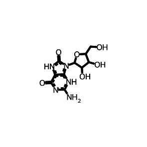 Nc1nc(=O)c2[nH]c(=O)n(C3OC(CO)C(O)C3O)c2[nH]1